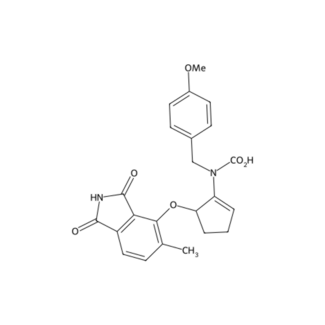 COc1ccc(CN(C(=O)O)C2=CCCC2Oc2c(C)ccc3c2C(=O)NC3=O)cc1